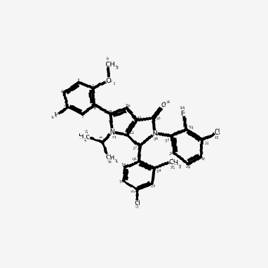 COc1ccc(F)cc1-c1cc2c(n1C(C)C)C(c1ccc(Cl)cc1C)N(c1cccc(Cl)c1F)C2=O